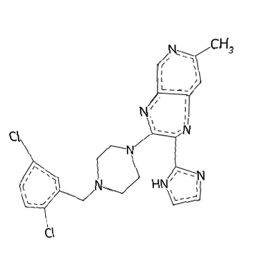 Cc1cc2nc(-c3ncc[nH]3)c(N3CCN(Cc4cc(Cl)ccc4Cl)CC3)nc2cn1